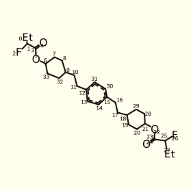 CCC(F)C(=O)OC1CCC(CCc2ccc(CCC3CCC(OC(=O)C(F)CC)CC3)cc2)CC1